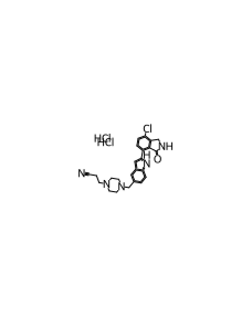 Cl.Cl.N#CCCN1CCN(Cc2ccc3[nH]c(-c4ccc(Cl)c5c4C(=O)NC5)cc3c2)CC1